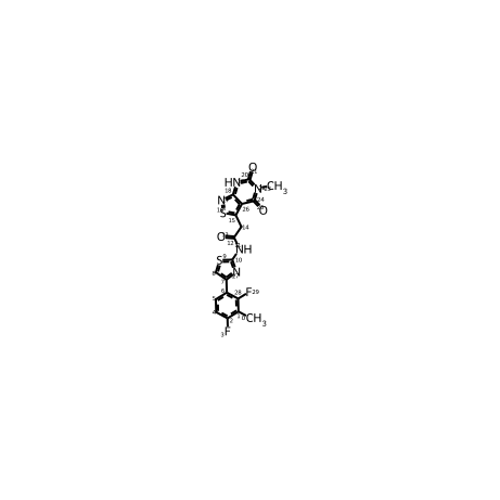 Cc1c(F)ccc(-c2csc(NC(=O)Cc3snc4[nH]c(=O)n(C)c(=O)c34)n2)c1F